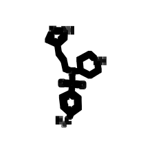 Cc1ccc(S(=O)(=O)N(CCCc2cn[nH]c2)C2CCNCC2)cc1